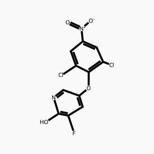 O=[N+]([O-])c1cc(Cl)c(Oc2cnc(O)c(F)c2)c(Cl)c1